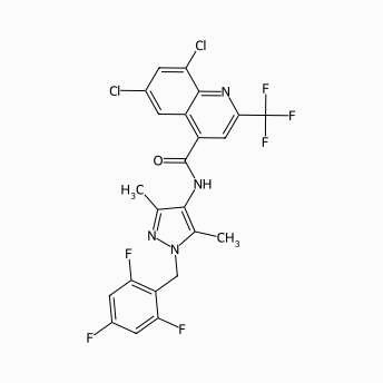 Cc1nn(Cc2c(F)cc(F)cc2F)c(C)c1NC(=O)c1cc(C(F)(F)F)nc2c(Cl)cc(Cl)cc12